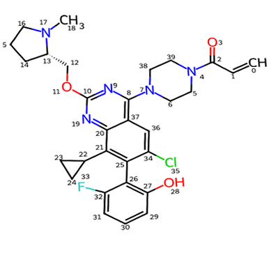 C=CC(=O)N1CCN(c2nc(OC[C@@H]3CCCN3C)nc3c(C4CC4)c(-c4c(O)cccc4F)c(Cl)cc23)CC1